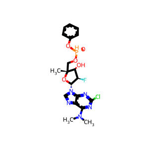 CN(C)c1nc(Cl)nc2c1ncn2[C@@H]1O[C@](C)(CO[PH](=O)Oc2ccccc2)[C@@H](O)[C@H]1F